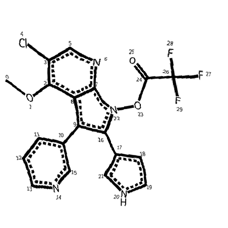 COc1c(Cl)cnc2c1c(-c1cccnc1)c(-c1cc[nH]c1)n2OC(=O)C(F)(F)F